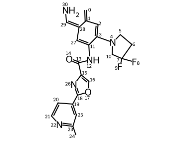 C=c1cc(N2CCC(F)(F)C2)c(NC(=O)c2coc(-c3ccnc(C)c3)n2)c/c1=C/N